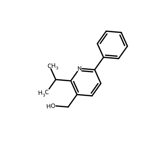 CC(C)c1nc(-c2ccccc2)ccc1CO